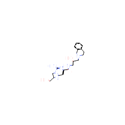 NC1=NC(C(=O)NCC(O)CN2CCc3ccccc3C2)=CC2=NC(CO)CN12